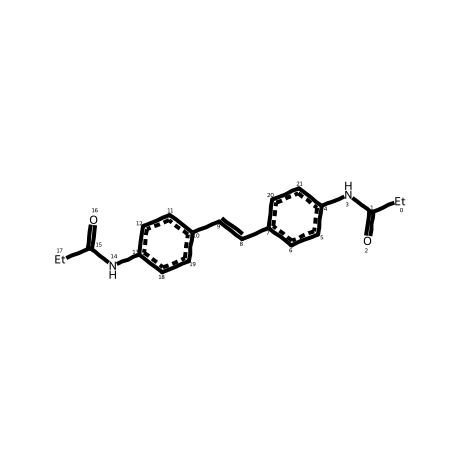 CCC(=O)Nc1ccc(/C=C/c2ccc(NC(=O)CC)cc2)cc1